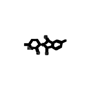 C=C1CCC(N2C(=O)c3ccc(C)cc3C2=O)C(=O)N1